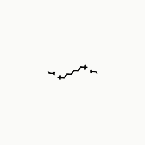 CCC(CC)(CCCCCCC(CC)(CC)OC(=O)CS)OC(=O)CS